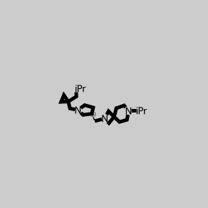 CC(C)CC1(CN2CC[C@H](CN3CC4(CCN(C(C)C)CC4)C3)C2)CC1